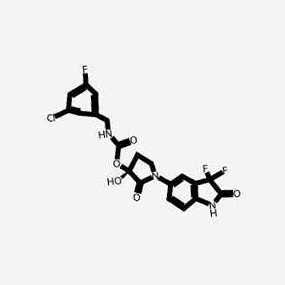 O=C(NCc1cc(F)cc(Cl)c1)O[C@]1(O)CCN(c2ccc3c(c2)C(F)(F)C(=O)N3)C1=O